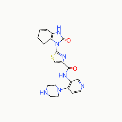 O=C(Nc1cnccc1N1CCNCC1)c1csc(-n2c3c([nH]c2=O)C=CCC3)n1